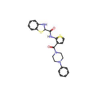 O=C(Nc1sccc1C(=O)N1CCN(c2ccccc2)CC1)C1Nc2ccccc2S1